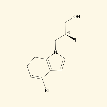 OC[C@@H](I)Cn1ccc2c1CCC=C2Br